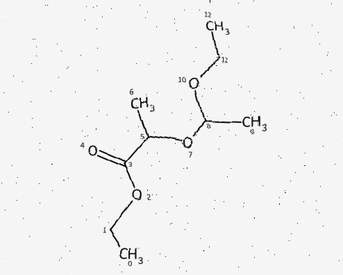 CCOC(=O)C(C)OC(C)OCC